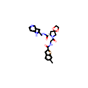 Cc1ccc2cc(C(=O)NCC(=O)N3CC4(C[C@H]3C(=O)NCc3cc5cnccc5[nH]3)OCCO4)sc2c1